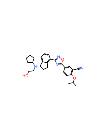 CC(C)Oc1ccc(-c2nc(-c3cccc4c3CC[C@@H]4N(CCO)C3CCCC3)no2)cc1C#N